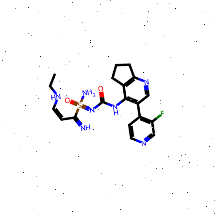 CCN/C=C\C(=N)S(N)(=O)=NC(=O)Nc1c(-c2ccncc2F)cnc2c1CCC2